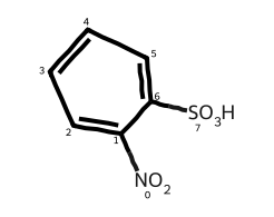 O=[N+]([O-])c1c[c]ccc1S(=O)(=O)O